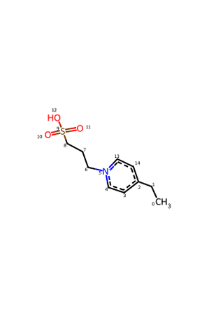 CCc1cc[n+](CCCS(=O)(=O)O)cc1